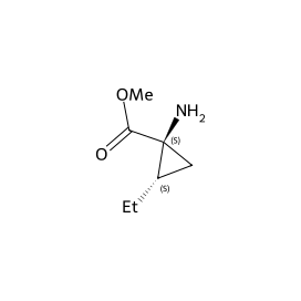 CC[C@H]1C[C@@]1(N)C(=O)OC